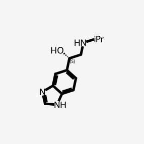 CC(C)NC[C@@H](O)c1ccc2[nH]cnc2c1